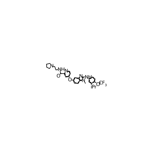 CC(C)c1cc(Nc2nc3cc(Oc4ccnc(C(=O)NCCN5CCCC5)c4)ccc3n2C)ccc1OC(F)(F)F